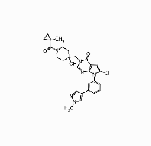 Cn1cc(-c2cccc(-n3c(Cl)cc4c(=O)n(CC5(O)CCN(C(=O)C6(C)CC6)CC5)cnc43)c2)cn1